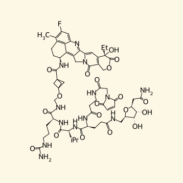 CC[C@@]1(O)C(=O)OCc2c1cc1n(c2=O)Cc2c-1nc1cc(F)c(C)c3c1c2[C@@H](NC(=O)C12CC(OCNC(=O)[C@H](CCCNC(N)=O)NC(=O)[C@@H](NC(=O)[C@H](CCC(=O)NC[C@H]4O[C@@H](CC(N)=O)[C@H](O)[C@@H]4O)NC(=O)CCNC(=O)CN4C(=O)C=CC4=O)C(C)C)(C1)C2)CC3